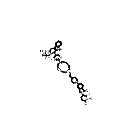 C[C@@H]1Cc2c([nH]c3ccccc23)[C@@H](c2cnc(N3CCCCN(CCC4CCN(c5ccc6c(c5)CN(C5CCC(=O)NC5=O)C6=O)CC4)CCOCC3)nc2)N1CC(C)(C)F